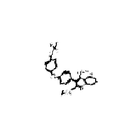 COc1c2c(nc(C)c1-c1ccc(Oc3ccc(OC(F)(F)F)cc3)cc1)CCCC2